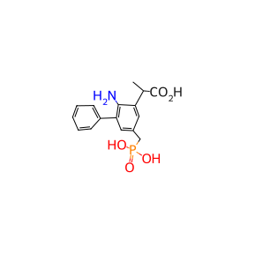 CC(C(=O)O)c1cc(CP(=O)(O)O)cc(-c2ccccc2)c1N